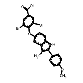 COc1ccc(-c2[nH]c3ccc(Oc4c(Br)cc(C(=O)O)cc4Br)cc3c2C)cc1